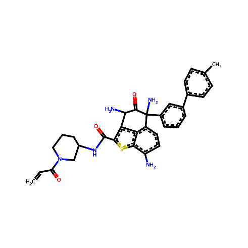 C=CC(=O)N1CCCC(NC(=O)c2sc3c(N)ccc4c3c2C(N)C(=O)C4(N)c2cccc(-c3ccc(C)cc3)c2)C1